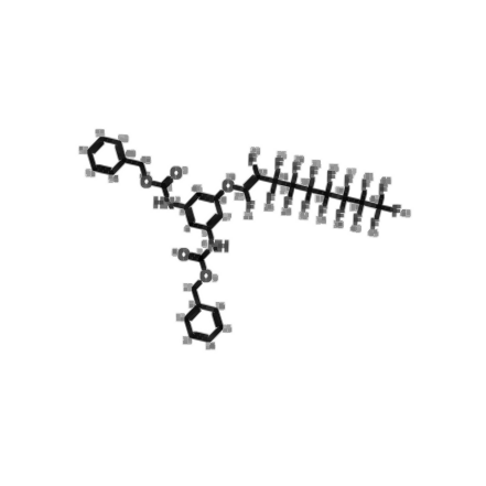 O=C(Nc1cc(NC(=O)OCc2ccccc2)cc(OC(F)=C(F)C(F)(F)C(F)(F)C(F)(F)C(F)(F)C(F)(F)C(F)(F)C(F)(F)F)c1)OCc1ccccc1